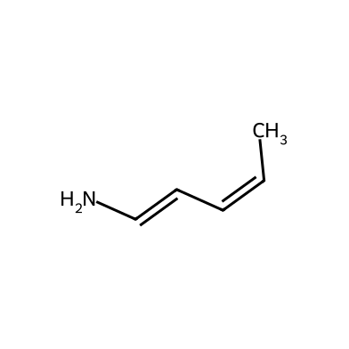 C/C=C\C=C\N